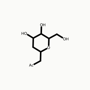 CC(=O)CC1CC(O)C(O)C(CO)O1